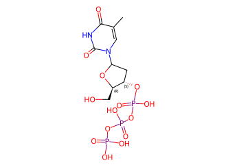 Cc1cn(C2C[C@H](OP(=O)(O)OP(=O)(O)OP(=O)(O)O)[C@@H](CO)O2)c(=O)[nH]c1=O